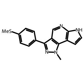 CSc1ccc(-c2nn(C)c3c2cnc2[nH]ccc23)cc1